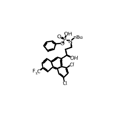 CCCCN(CCC(O)c1cc2ccc(C(F)(F)F)cc2c2cc(Cl)cc(Cl)c12)P(=O)(O)Oc1ccccc1